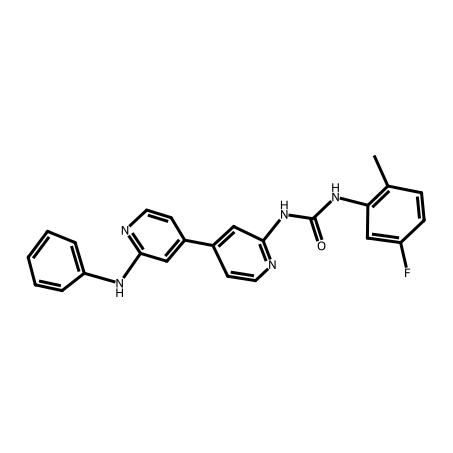 Cc1ccc(F)cc1NC(=O)Nc1cc(-c2ccnc(Nc3ccccc3)c2)ccn1